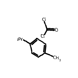 Cc1ccc(C(C)C)cc1.O=C(Cl)Cl